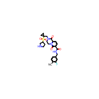 N#Cc1ccc(CNC(=O)c2ccc3n(c2=O)CCN(CC2(S(=O)(=O)C4CCNC4)CC2)C3=O)cc1F